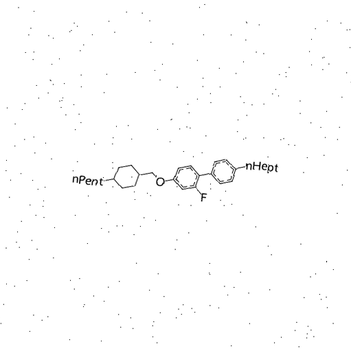 CCCCCCCc1ccc(-c2ccc(OCC3CCC(CCCCC)CC3)cc2F)cc1